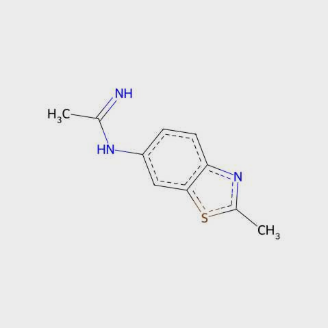 CC(=N)Nc1ccc2nc(C)sc2c1